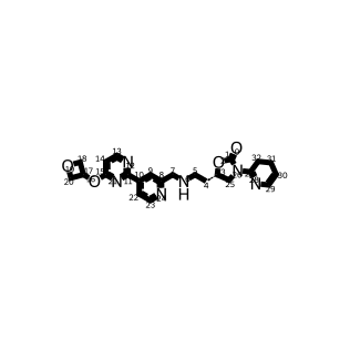 O=C1O[C@@H](CCNCc2cc(-c3nccc(OC4COC4)n3)ccn2)CN1C1=NC=CCC1